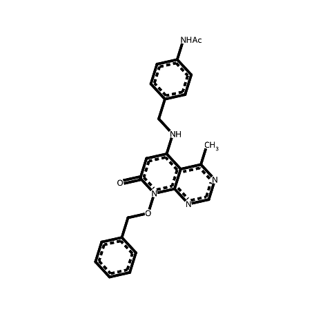 CC(=O)Nc1ccc(CNc2cc(=O)n(OCc3ccccc3)c3ncnc(C)c23)cc1